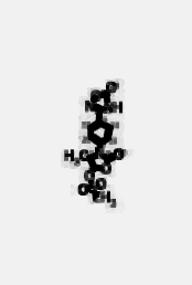 CC1C(OS(C)(=O)=O)OC(=O)N1c1ccc(-c2noc(=O)[nH]2)cc1